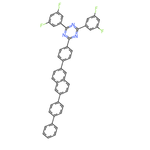 Fc1cc(F)cc(-c2nc(-c3ccc(-c4ccc5cc(-c6ccc(-c7ccccc7)cc6)ccc5c4)cc3)nc(-c3cc(F)cc(F)c3)n2)c1